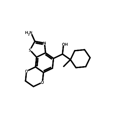 CC1(C(O)c2cc3c(c4sc(N)nc24)OCCO3)CCCCC1